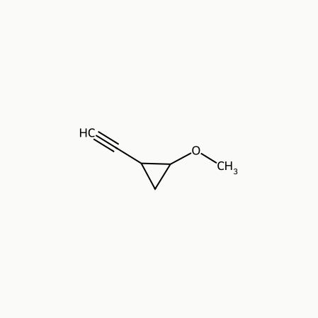 C#CC1CC1OC